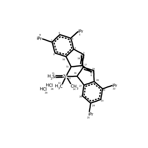 CCC1=Cc2c(C(C)C)cc(C(C)C)cc2[CH]1[Zr]([CH3])([CH3])(=[SiH2])[CH]1C(CC)=Cc2c(C(C)C)cc(C(C)C)cc21.Cl.Cl